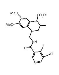 CCOC(=O)N1c2cc(OC)c(OC)cc2C(CNC(=O)c2cccc(Cl)c2F)CC1C